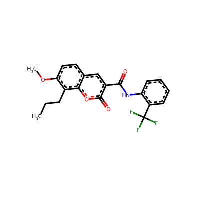 CCCc1c(OC)ccc2cc(C(=O)Nc3ccccc3C(F)(F)F)c(=O)oc12